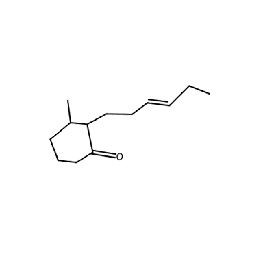 CCC=CCCC1C(=O)CCCC1C